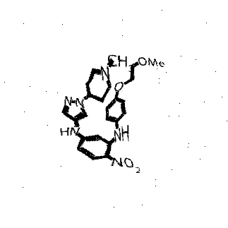 COCCOc1ccc(Nc2cc(Nc3cnn(C4CCN(C)CC4)c3)ccc2[N+](=O)[O-])cc1